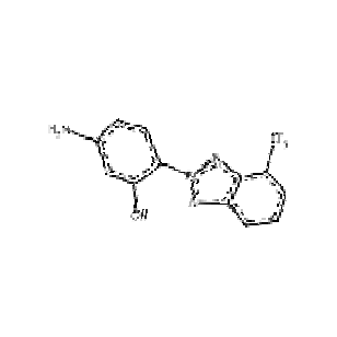 Nc1ccc(-n2nc3cccc(C(F)(F)F)c3n2)c(O)c1